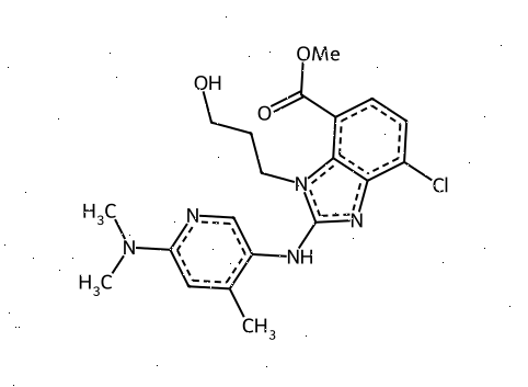 COC(=O)c1ccc(Cl)c2nc(Nc3cnc(N(C)C)cc3C)n(CCCO)c12